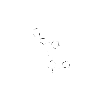 N=C(N)[C@H](Cc1ccccc1)NC(=O)CCCOc1cc(-c2cccnc2)nn1-c1ccc(Cl)c(Cl)c1